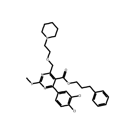 CSc1nc(COCCN2CCCCC2)c(C(=O)OCCCc2ccccc2)c(-c2ccc(Cl)c(Cl)c2)n1